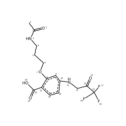 CC(=O)NCCCOc1cc(NCC(=O)C(F)(F)F)ccc1C(=O)O